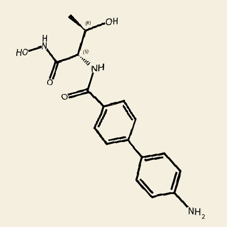 C[C@@H](O)[C@H](NC(=O)c1ccc(-c2ccc(N)cc2)cc1)C(=O)NO